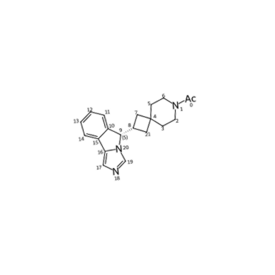 CC(=O)N1CCC2(CC1)CC([C@H]1c3ccccc3-c3cncn31)C2